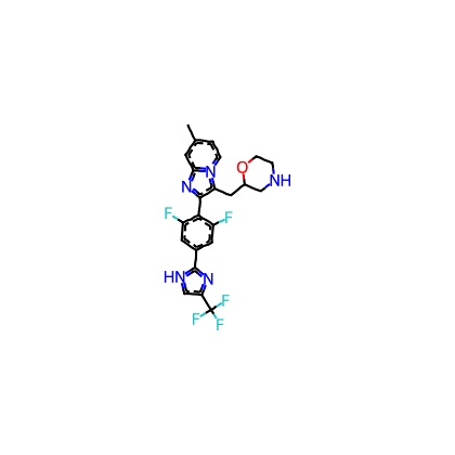 Cc1ccn2c(CC3CNCCO3)c(-c3c(F)cc(-c4nc(C(F)(F)F)c[nH]4)cc3F)nc2c1